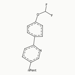 CCCCCc1ccc(-c2ccc(OC(F)F)cc2)nc1